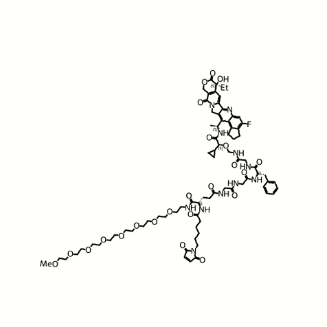 CC[C@@]1(O)C(=O)OCc2c1cc1n(c2=O)Cc2c-1nc1cc(F)c3c(c1c2[C@H](C)NC(=O)[C@@H](OCNC(=O)CNC(=O)[C@H](Cc1ccccc1)NC(=O)CNC(=O)CNC(=O)CC[C@H](NC(=O)CCCCCN1C(=O)C=CC1=O)C(=O)NCCOCCOCCOCCOCCOCCOCCOCCOC)C1CC1)CCC3